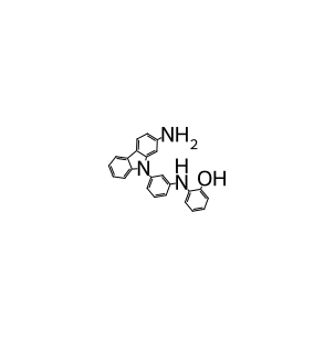 Nc1ccc2c3ccccc3n(-c3cccc(Nc4ccccc4O)c3)c2c1